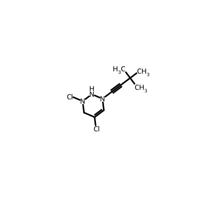 CC(C)(C)C#CN1C=C(Cl)CN(Cl)N1